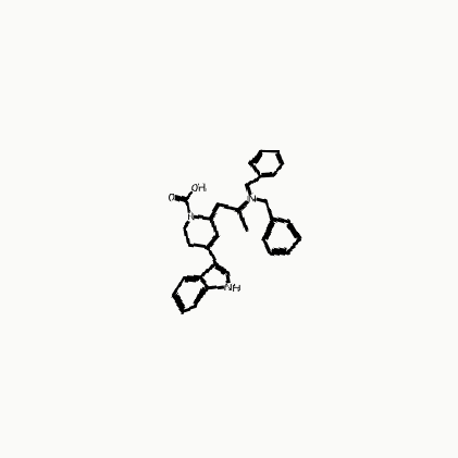 CC(CC1CC(c2c[nH]c3ccccc23)CCN1C(=O)O)N(Cc1ccccc1)Cc1ccccc1